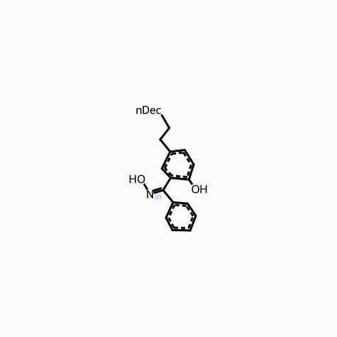 CCCCCCCCCCCCc1ccc(O)c(/C(=N\O)c2ccccc2)c1